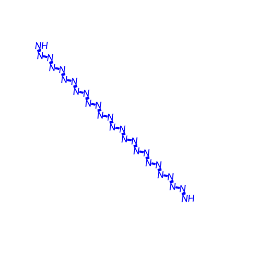 N=N/N=N/N=N/N=N/N=N/N=N/N=N/N=N/N=N/N=N/N=N/N=N/N=N